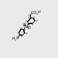 Nc1ccc(S(=O)(=O)c2cccc(CC(=O)O)c2)cc1